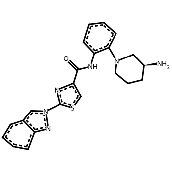 N[C@H]1CCCN(c2ccccc2NC(=O)c2csc(-n3cc4ccccc4n3)n2)C1